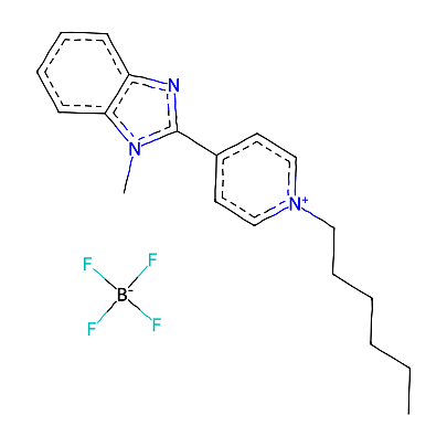 CCCCCC[n+]1ccc(-c2nc3ccccc3n2C)cc1.F[B-](F)(F)F